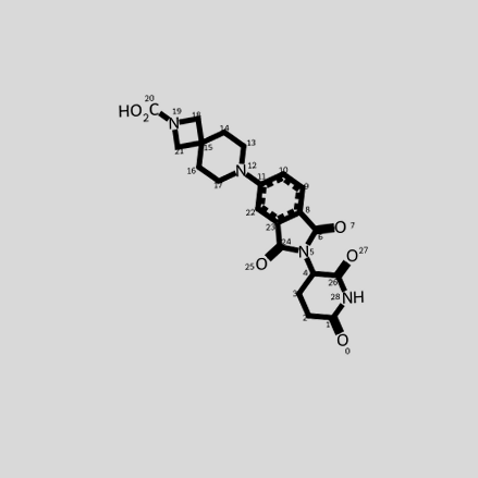 O=C1CCC(N2C(=O)c3ccc(N4CCC5(CC4)CN(C(=O)O)C5)cc3C2=O)C(=O)N1